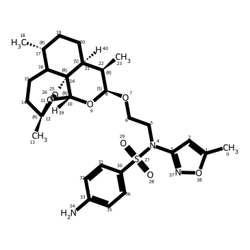 Cc1cc(N(CCO[C@H]2O[C@@H]3O[C@@]4(C)CCC5[C@H](C)CC[C@@H]([C@H]2C)[C@]53OO4)S(=O)(=O)c2ccc(N)cc2)no1